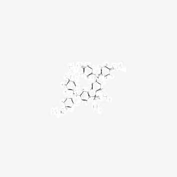 Cc1ccc(N(c2ccc(C)cc2)c2ccc3c(c2)-c2cc(N(c4ccc(C)cc4)c4ccc(C)cc4)ccc2C3(C)C)cc1